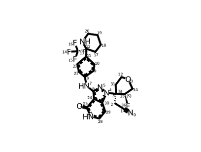 N#CC[C@]1(n2nc(Nc3ccc([C@]4(C(F)(F)F)CCCCN4)cc3)c3c(=O)[nH]ccc32)CCOC[C@H]1F